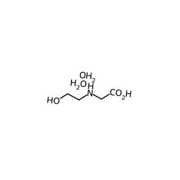 O.O.O=C(O)CNCCO